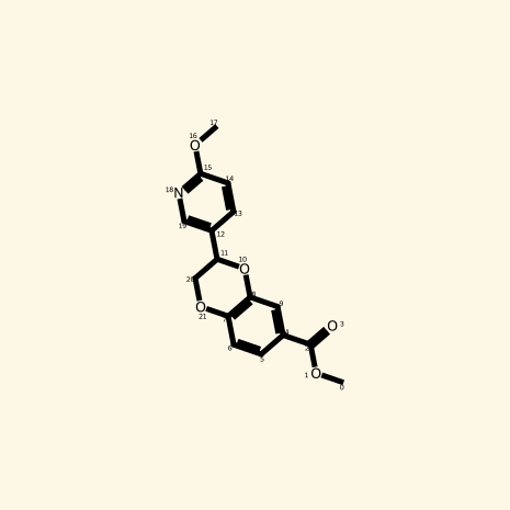 COC(=O)c1ccc2c(c1)OC(c1ccc(OC)nc1)CO2